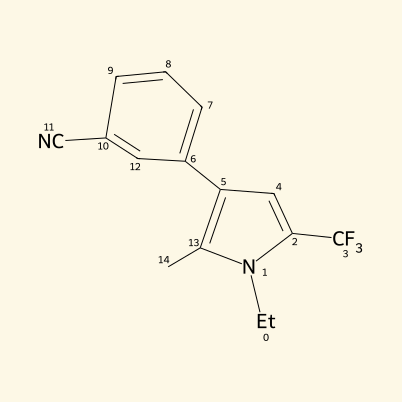 CCn1c(C(F)(F)F)cc(-c2cccc(C#N)c2)c1C